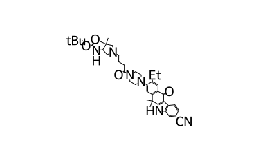 CCc1cc2c(cc1N1CCN(C(=O)CCCN3C[C@H](NC(=O)OC(C)(C)C)C(C)(C)C3)CC1)C(C)(C)c1[nH]c3cc(C#N)ccc3c1C2=O